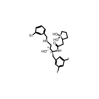 CCc1cccc(CNC[C@@H](O)[C@H](Cc2cc(F)cc(F)c2)NC(=O)CC2CCCS2(O)O)c1